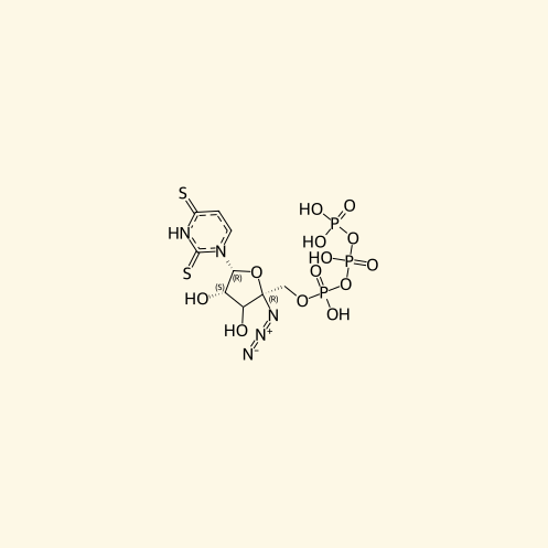 [N-]=[N+]=N[C@]1(COP(=O)(O)OP(=O)(O)OP(=O)(O)O)O[C@@H](n2ccc(=S)[nH]c2=S)[C@@H](O)C1O